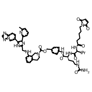 Cc1cccc(-c2nc(CNc3cccc4c3CN(C(=O)OCc3ccc(NC(=O)[C@H](CCCNC(N)=O)NC(=O)C(NC(=O)CCCCCN5C(=O)C=CC5=O)C(C)C)cc3)CC4)[nH]c2-c2ccc3ncnn3c2)n1